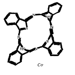 [Co].c1ccc2c(c1)-c1nc-2nc2[nH]c(nc3nc(nc4[nH]c(n1)c1ccccc41)-c1ccccc1-3)c1ccccc21